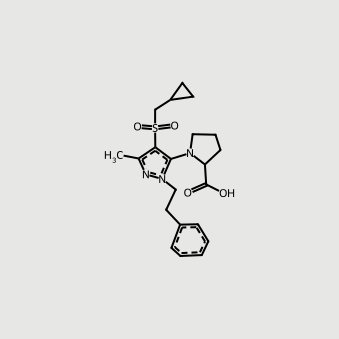 Cc1nn(CCc2ccccc2)c(N2CCCC2C(=O)O)c1S(=O)(=O)CC1CC1